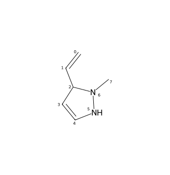 C=CC1C=CNN1C